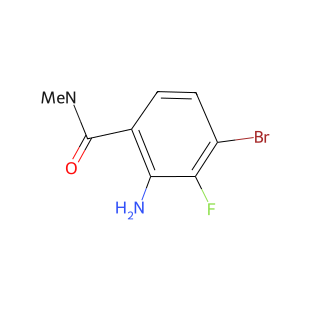 CNC(=O)c1ccc(Br)c(F)c1N